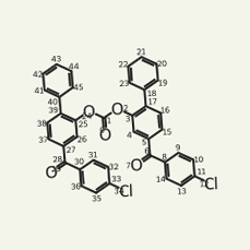 O=C(Oc1cc(C(=O)c2ccc(Cl)cc2)ccc1-c1ccccc1)Oc1cc(C(=O)c2ccc(Cl)cc2)ccc1-c1ccccc1